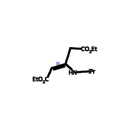 CCOC(=O)/C=C(/CC(=O)OCC)NC(C)C